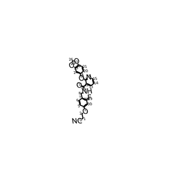 N#CCCOc1ccc(CNC(=O)c2cccnc2Oc2ccc3c(c2)OCO3)c(F)c1